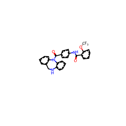 O=C(Nc1ccc(C(=O)N2c3ccccc3CNc3ccccc32)cc1)c1ccccc1OC(F)(F)F